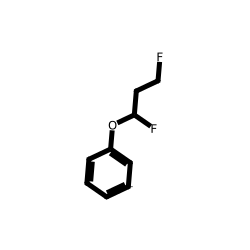 FCCC(F)Oc1c[c]ccc1